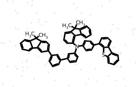 CC1(C)c2ccccc2-c2cc(-c3cccc(-c4cccc(N(c5ccc(-c6cccc7c6sc6ccccc67)cc5)c5cccc6c5-c5ccccc5C6(C)C)c4)c3)ccc21